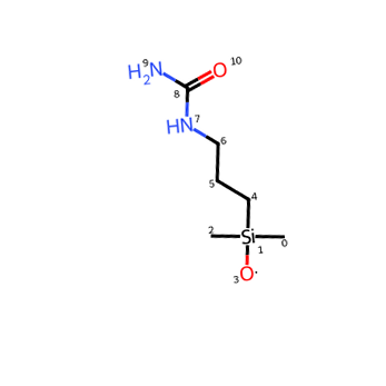 C[Si](C)([O])CCCNC(N)=O